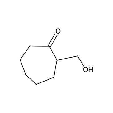 O=C1CCCCCC1CO